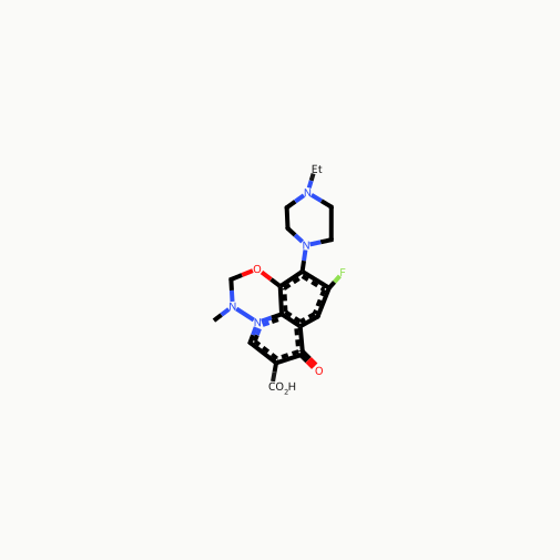 CCN1CCN(c2c(F)cc3c(=O)c(C(=O)O)cn4c3c2OCN4C)CC1